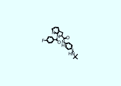 CC(C)(C)NSc1ccc(NC(=O)C2Cc3cccnc3N2C(=O)c2ccc(F)cc2)cc1